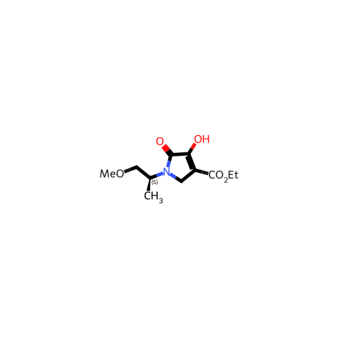 CCOC(=O)C1=C(O)C(=O)N([C@@H](C)COC)C1